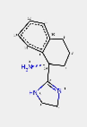 N[C@@]1(C2=NCCN2)CCCc2ccccc21